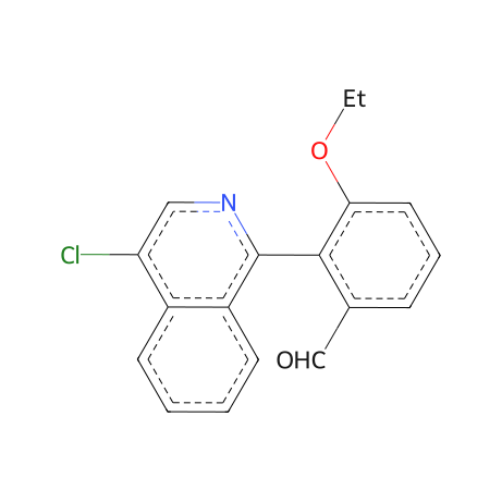 CCOc1cccc(C=O)c1-c1ncc(Cl)c2ccccc12